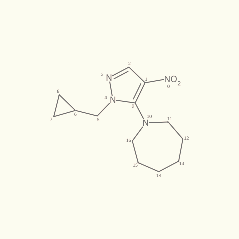 O=[N+]([O-])c1cnn(CC2CC2)c1N1CCCCCC1